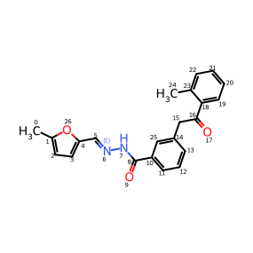 Cc1ccc(/C=N/NC(=O)c2cccc(CC(=O)c3ccccc3C)c2)o1